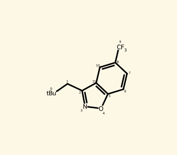 CC(C)(C)Cc1noc2ccc(C(F)(F)F)cc12